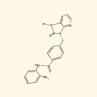 CC(C)n1c(=O)n(Cc2ccc(C(=O)Nc3ccccc3N)cc2)c2ncccc21